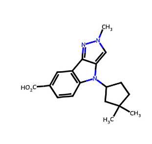 Cn1cc2c(n1)c1cc(C(=O)O)ccc1n2C1CCC(C)(C)C1